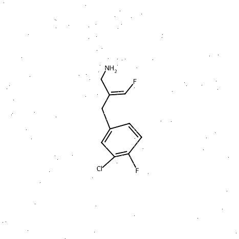 NCC(=CF)Cc1ccc(F)c(Cl)c1